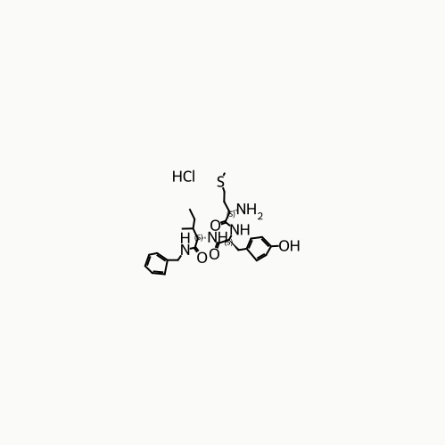 CCC(C)[C@H](NC(=O)[C@H](Cc1ccc(O)cc1)NC(=O)[C@@H](N)CCSC)C(=O)NCc1ccccc1.Cl